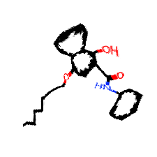 CCCCCCOc1cc(C(=O)Nc2ccccc2)c(O)c2ccccc12